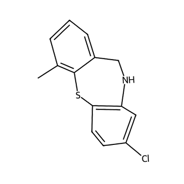 Cc1cccc2c1Sc1ccc(Cl)cc1NC2